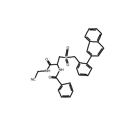 N#CCNC(=O)C(CS(=O)(=O)Cc1ccccc1-c1ccc2ccccc2c1)NC(=O)c1ccccc1